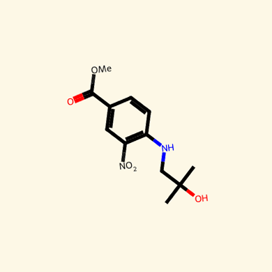 COC(=O)c1ccc(NCC(C)(C)O)c([N+](=O)[O-])c1